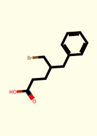 O=C(O)CCC(CBr)Cc1ccccc1